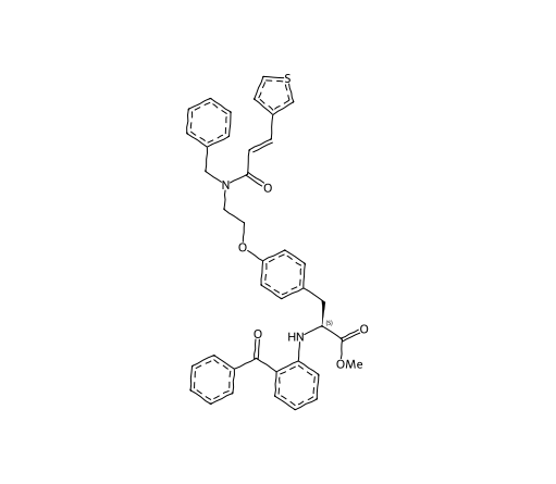 COC(=O)[C@H](Cc1ccc(OCCN(Cc2ccccc2)C(=O)C=Cc2ccsc2)cc1)Nc1ccccc1C(=O)c1ccccc1